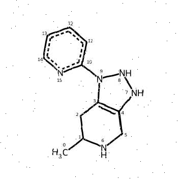 CC1CC2=C(CN1)NNN2c1ccccn1